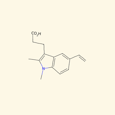 C=Cc1ccc2c(c1)c(CCC(=O)O)c(C)n2C